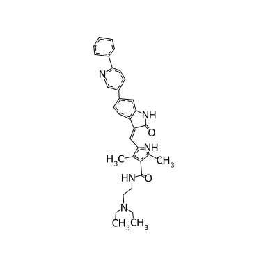 CCN(CC)CCNC(=O)c1c(C)[nH]c(/C=C2\C(=O)Nc3cc(-c4ccc(-c5ccccc5)nc4)ccc32)c1C